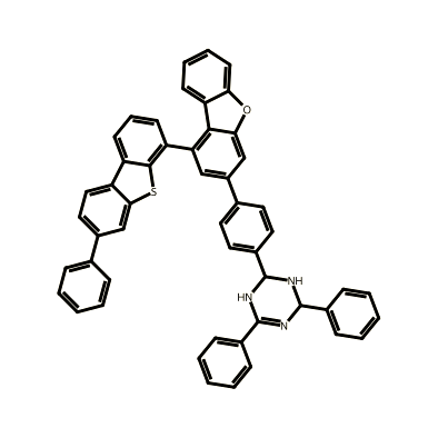 c1ccc(C2=NC(c3ccccc3)NC(c3ccc(-c4cc(-c5cccc6c5sc5cc(-c7ccccc7)ccc56)c5c(c4)oc4ccccc45)cc3)N2)cc1